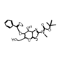 CN(C(=O)OC(C)(C)C)C1=NC2C(OC(CO)C(OC(=O)c3ccccc3)C2O)S1